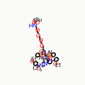 CCOc1ccc(C(=O)N2CCN(c3ccc(-c4ccccc4OCC)nc3CN(CCN(CCCOCCOCCOCCOCCNC(=O)OC(C)(C)C)S(=O)(=O)c3ccccc3[N+](=O)[O-])S(=O)(=O)c3ccccc3[N+](=O)[O-])[C@H](CC)C2)c(C(F)(F)F)c1